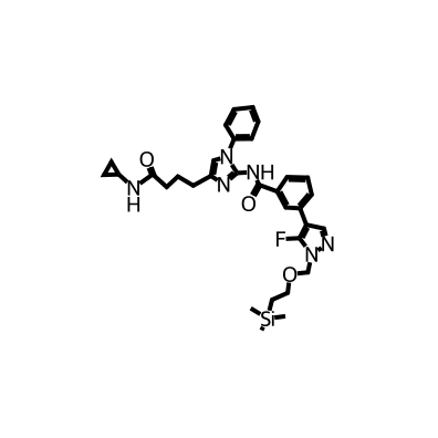 C[Si](C)(C)CCOCn1ncc(-c2cccc(C(=O)Nc3nc(CCCC(=O)NC4CC4)cn3-c3ccccc3)c2)c1F